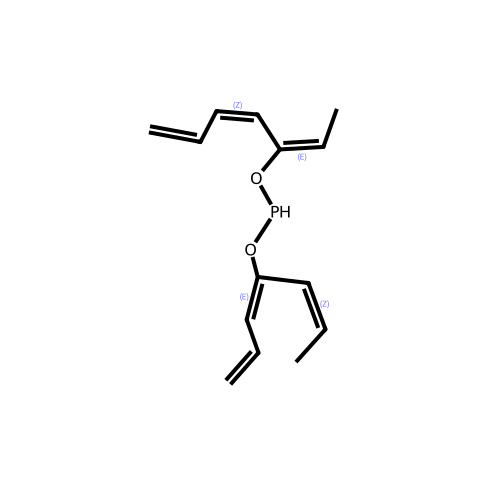 C=C/C=C\C(=C/C)OPOC(/C=C\C)=C/C=C